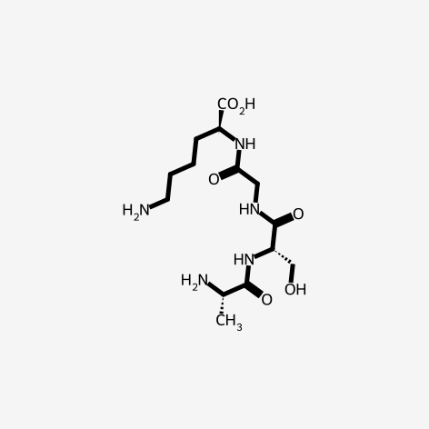 C[C@H](N)C(=O)N[C@@H](CO)C(=O)NCC(=O)N[C@@H](CCCCN)C(=O)O